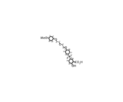 COc1ccc(OCCOCCOc2ccc(C(C)(C)c3ccc(O)c(C(=O)O)c3)cc2)cc1